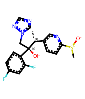 C[C@H](c1ccc([S+](C)[O-])nc1)[C@@](O)(Cn1cncn1)c1ccc(F)cc1F